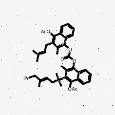 CC(=O)Oc1c(CC=C(C)C)c(C)c(OC(=O)Oc2c(C)c(C(C)(C)C/C=C(\C)CC(C)C)c(OC(C)=O)c3ccccc23)c2ccccc12